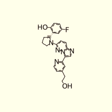 OCCc1ccnc(-c2cnc3ccc(N4CCC[C@@H]4c4cc(F)ccc4O)nn23)c1